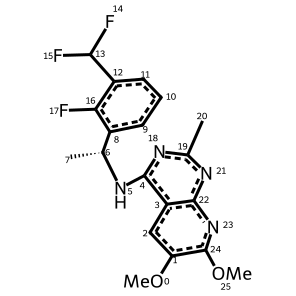 COc1cc2c(N[C@H](C)c3cccc(C(F)F)c3F)nc(C)nc2nc1OC